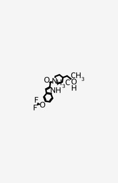 CC(C)(O)CC1CCN(C(=O)c2cc3cc(OC(F)F)ccc3[nH]2)CC1